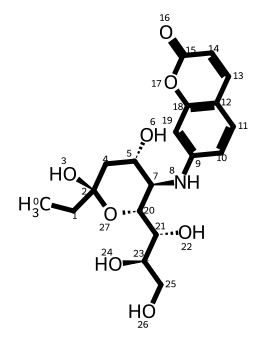 CC[C@]1(O)C[C@H](O)[C@@H](Nc2ccc3ccc(=O)oc3c2)[C@H]([C@H](O)[C@H](O)CO)O1